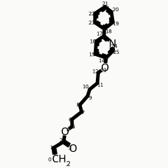 C=CC(=O)OCCCCCCCCOc1ccc(-c2cc[c]cc2)nc1